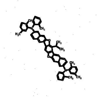 Cc1ccc(C)c(N(c2ccc3cc4c(cc3c2)oc2c(C(C)C)c3c(cc24)oc2cc4cc(N(c5ccccc5C)c5cc(C)ccc5C)ccc4cc23)c2ccccc2C)c1